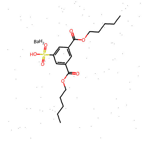 CCCCCOC(=O)c1cc(C(=O)OCCCCC)cc(S(=O)(=O)O)c1.[BaH2]